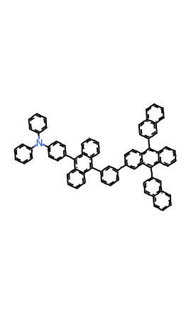 c1ccc(N(c2ccccc2)c2ccc(-c3c4ccccc4c(-c4cccc(-c5ccc6c(-c7ccc8ccccc8c7)c7ccccc7c(-c7ccc8ccccc8c7)c6c5)c4)c4ccccc34)cc2)cc1